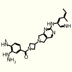 C/C=C(C)\C=C(/C=N)Nc1ncc2c(n1)CN(C1CN(C(=O)c3ccc(NC)c(NN)c3)C1)C2